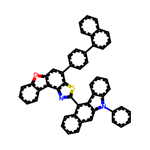 c1ccc(-n2c3ccccc3c3c(-c4nc5c(s4)c(-c4ccc(-c6cccc7ccccc67)cc4)cc4oc6ccccc6c45)c4ccccc4cc32)cc1